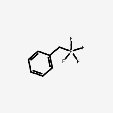 FP(F)(F)(F)Cc1ccccc1